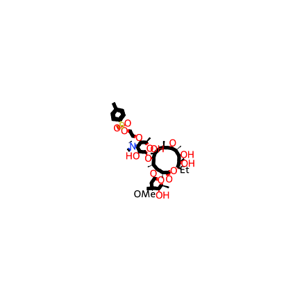 CC[C@H]1OC(=O)[C@H](C)[C@@H](O[C@H]2C[C@@](C)(OC)[C@@H](O)[C@H](C)O2)[C@H](C)[C@@H](O[C@@H]2O[C@H](C)[C@@H](OCCOS(=O)(=O)c3ccc(C)cc3)C(N(C)C)[C@H]2O)[C@](C)(O)C[C@@H](C)C(=O)[C@H](C)[C@@H](O)[C@]1(C)O